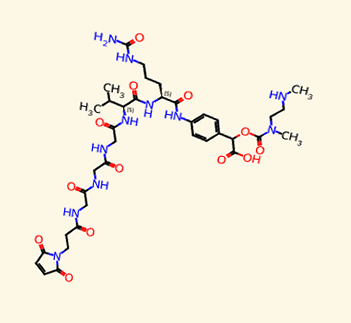 CNCCN(C)C(=O)OC(C(=O)O)c1ccc(NC(=O)[C@H](CCCNC(N)=O)NC(=O)[C@@H](NC(=O)CNC(=O)CNC(=O)CNC(=O)CCN2C(=O)C=CC2=O)C(C)C)cc1